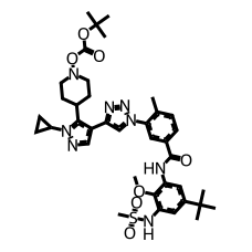 COc1c(NC(=O)c2ccc(C)c(-n3cc(-c4cnn(C5CC5)c4C4CCN(OC(=O)OC(C)(C)C)CC4)nn3)c2)cc(C(C)(C)C)cc1NS(C)(=O)=O